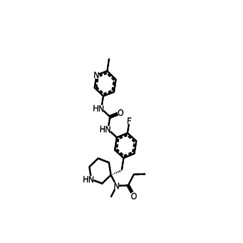 CCC(=O)N(C)[C@]1(Cc2ccc(F)c(NC(=O)Nc3ccc(C)nc3)c2)CCCNC1